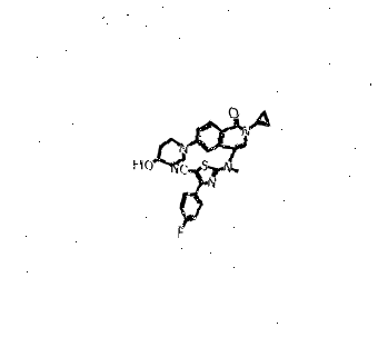 CN(c1nc(-c2ccc(F)cc2)c(C#N)s1)c1cn(C2CC2)c(=O)c2ccc(N3CCC(O)CC3)cc12